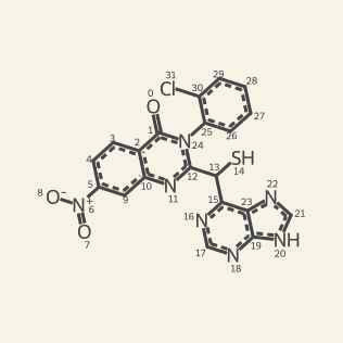 O=c1c2ccc([N+](=O)[O-])cc2nc(C(S)c2ncnc3[nH]cnc23)n1-c1ccccc1Cl